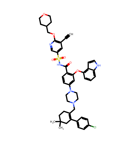 C#Cc1cc(S(=O)(=O)NC(=O)c2ccc(N3CCN(CC4=C(c5ccc(Cl)cc5)CC(C)(C)CC4)CC3)cc2Oc2cccc3[nH]ccc23)cnc1OCC1CCOCC1